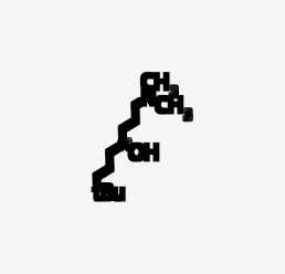 CN(C)CCC[C@H](O)CCCC(C)(C)C